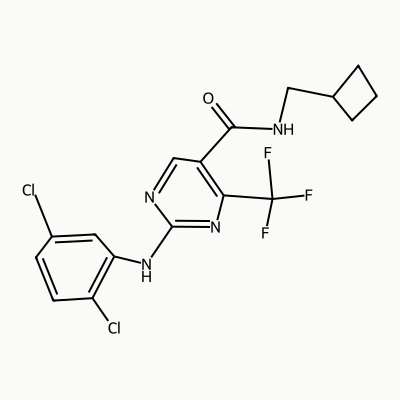 O=C(NCC1CCC1)c1cnc(Nc2cc(Cl)ccc2Cl)nc1C(F)(F)F